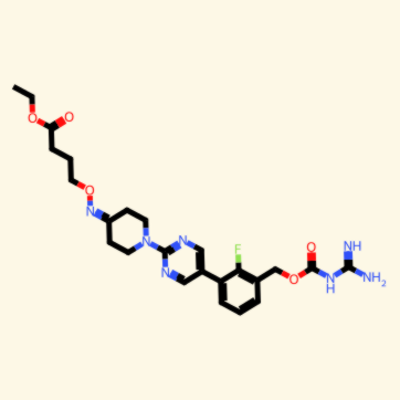 CCOC(=O)CCCON=C1CCN(c2ncc(-c3cccc(COC(=O)NC(=N)N)c3F)cn2)CC1